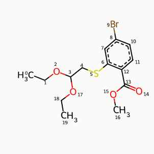 CCOC(CSc1cc(Br)ccc1C(=O)OC)OCC